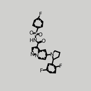 O=C(NS(=O)(=O)c1ccc(F)cc1)c1cnn2ccc(N3CCCC3c3cc(F)ccc3F)cc12